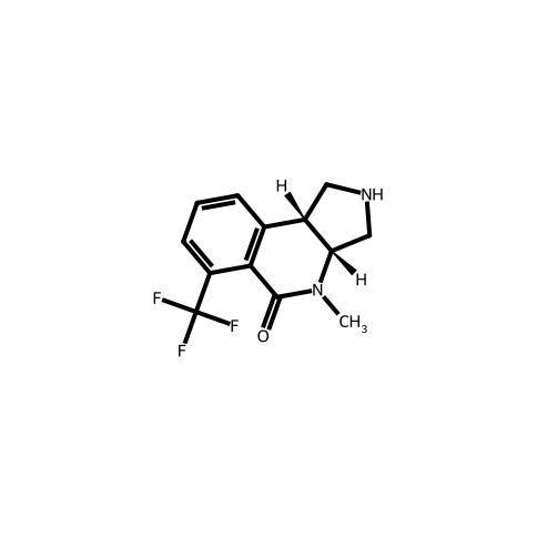 CN1C(=O)c2c(cccc2C(F)(F)F)[C@@H]2CNC[C@@H]21